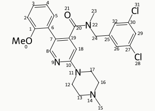 COc1ccccc1-c1cnc(N2CCN(C)CC2)cc1C(=O)N(C)Cc1cc(Cl)cc(Cl)c1